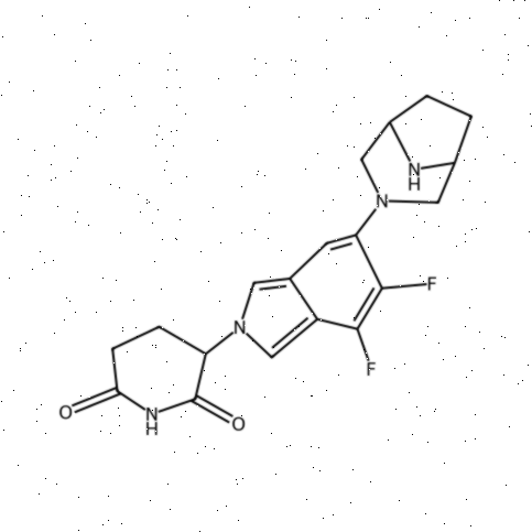 O=C1CCC(n2cc3cc(N4CC5CCC(C4)N5)c(F)c(F)c3c2)C(=O)N1